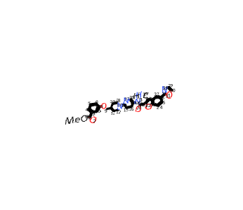 COC(=O)c1cccc(OCC2CCN(c3ccc(NC(=O)c4oc5ccc(-c6ncco6)cc5c4C)cn3)CC2)c1